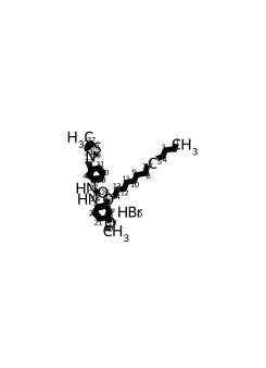 Br.CCCCCCCCCCCCCCOc1cc(OC)ccc1NC(=O)Nc1cccc(CN2C=C(C)SC2)c1